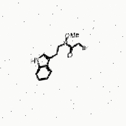 CON(CCc1c[nH]c2ccccc12)C(=O)CBr